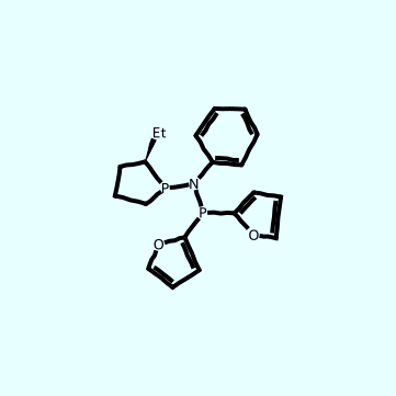 CC[C@@H]1CCCP1N(c1ccccc1)P(c1ccco1)c1ccco1